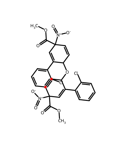 COC(=O)C1([N+](=O)[O-])C=CC(OC2C=CC(C(=O)OC)([N+](=O)[O-])C=C2c2ccccc2Cl)C(c2ccccc2Cl)=C1